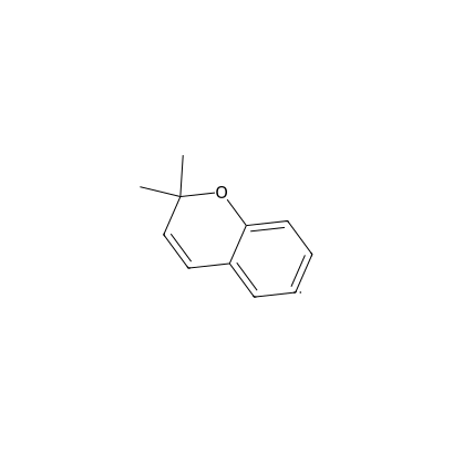 CC1(C)C=Cc2c[c]ccc2O1